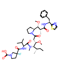 CC[C@H](C)[C@@H]([C@H](CC(=O)N1CCC[C@H]1[C@H](OC)[C@@H](C)C(=O)N[C@@H](Cc1ccccc1)c1nccs1)OC)N(C)C(=O)[C@@H](NC(=O)[C@]1(F)CCN(C(=O)O)C1)C(C)C